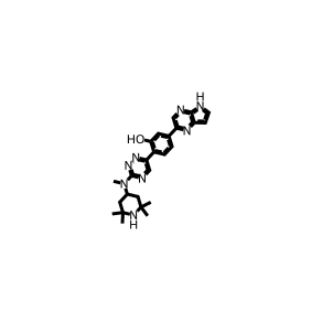 CN(c1ncc(-c2ccc(-c3cnc4[nH]ccc4n3)cc2O)nn1)C1CC(C)(C)NC(C)(C)C1